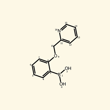 OB(O)c1ccccc1OCc1ccccn1